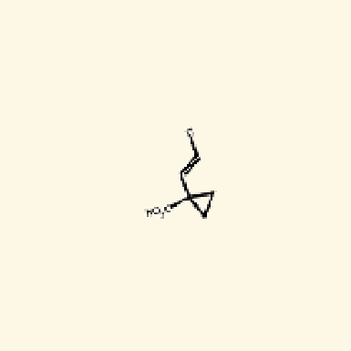 O=C(O)C1(C=CCl)CC1